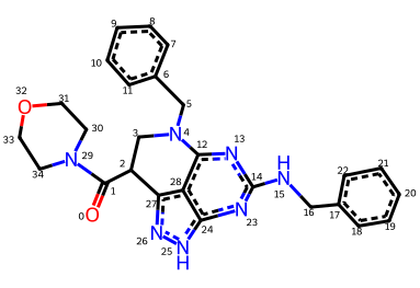 O=C(C1CN(Cc2ccccc2)c2nc(NCc3ccccc3)nc3[nH]nc1c23)N1CCOCC1